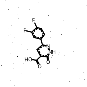 O=C(O)c1cc(-c2ccc(F)c(F)c2)n[nH]c1=O